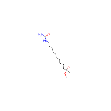 CO[Si](C)(CCCCCCCCCCNC(N)=O)OC